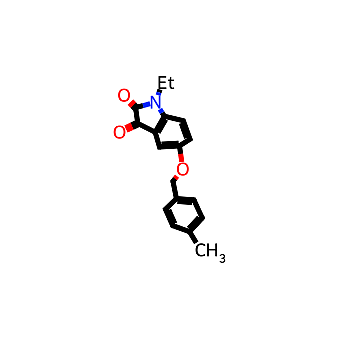 CCN1C(=O)C(=O)c2cc(OCc3ccc(C)cc3)ccc21